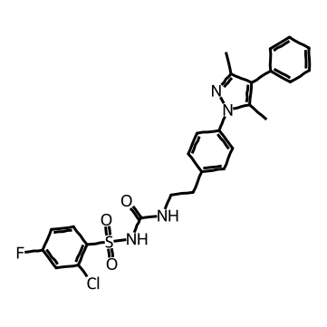 Cc1nn(-c2ccc(CCNC(=O)NS(=O)(=O)c3ccc(F)cc3Cl)cc2)c(C)c1-c1ccccc1